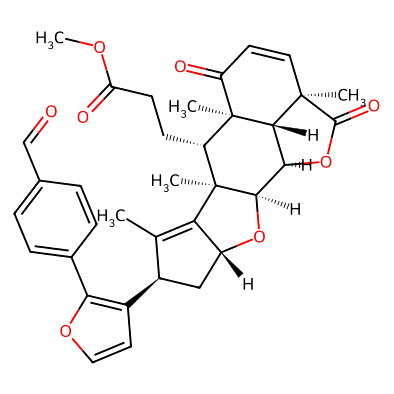 COC(=O)CC[C@H]1[C@]2(C)C3=C(C)[C@H](c4ccoc4-c4ccc(C=O)cc4)C[C@H]3O[C@@H]2[C@@H]2OC(=O)[C@]3(C)C=CC(=O)[C@@]1(C)[C@@H]23